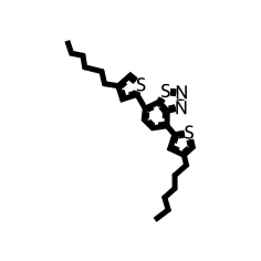 CCCCCCc1csc(-c2ccc(-c3cc(CCCCCC)cs3)c3snnc23)c1